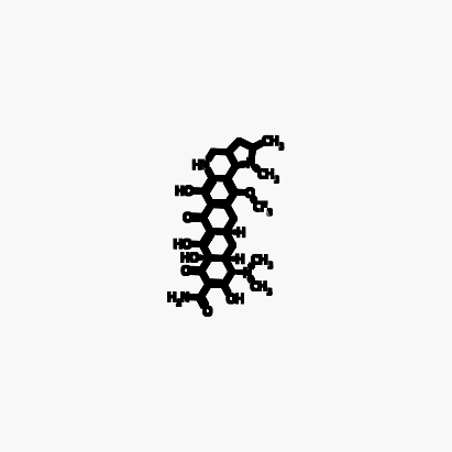 CC1CC2CNc3c(O)c4c(c(OC(F)(F)F)c3C2N1C)C[C@@H]1C[C@@H]2[C@@H](N(C)C)C(O)=C(C(N)=O)C(=O)[C@]2(O)C(O)=C1C4=O